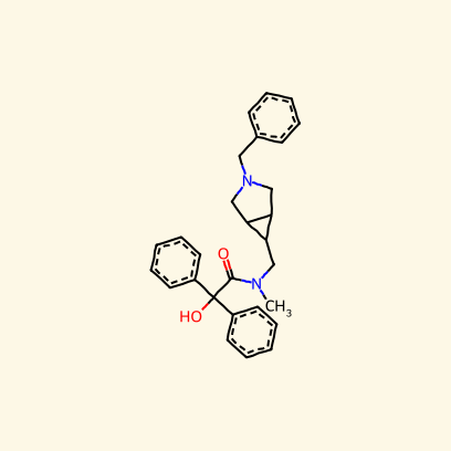 CN(CC1C2CN(Cc3ccccc3)CC21)C(=O)C(O)(c1ccccc1)c1ccccc1